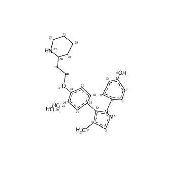 Cc1cnn(-c2ccc(O)cc2)c1-c1ccc(OCCC2CCCCN2)cc1.Cl.Cl